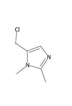 Cc1ncc(CCl)n1C